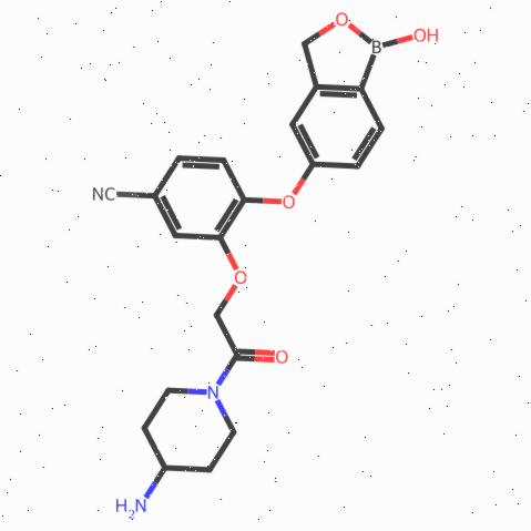 N#Cc1ccc(Oc2ccc3c(c2)COB3O)c(OCC(=O)N2CCC(N)CC2)c1